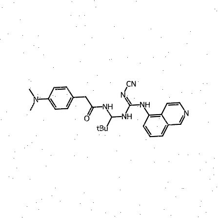 CN(C)c1ccc(CC(=O)NC(N/C(=N/C#N)Nc2cccc3cnccc23)C(C)(C)C)cc1